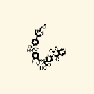 COCc1ncc(-c2ccc(S(=O)(=O)Nc3cc(F)c(C(=O)N[C@](C)(C(=O)O)c4ccc(-n5c(=O)c6ccncc6n(C)c5=O)nc4)cc3F)cc2)cn1